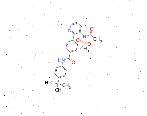 CC(=O)N(c1cccnc1-c1ccc(C(=O)Nc2ccc(C(C)(C)C)cc2)cc1)S(C)(=O)=O